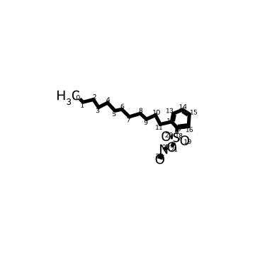 CCCCCCCCCCCCc1ccccc1S(=O)(=O)ON=O